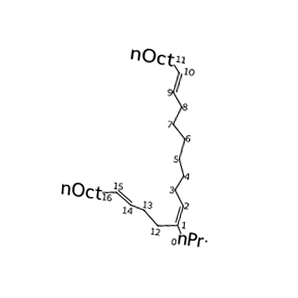 CC[CH]C(=CCCCCCCC=CCCCCCCCC)CCC=CCCCCCCCC